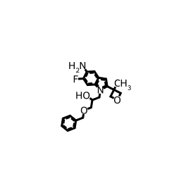 CC1(c2cc3cc(N)c(F)cc3n2CC(O)COCc2ccccc2)COC1